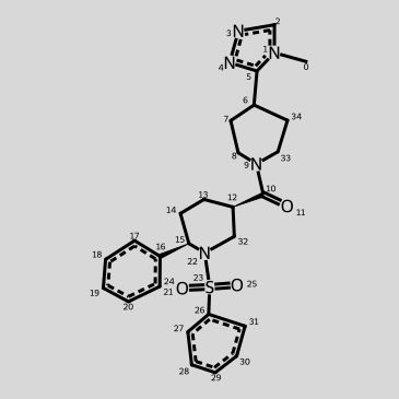 Cn1cnnc1C1CCN(C(=O)[C@@H]2CC[C@H](c3ccccc3)N(S(=O)(=O)c3ccccc3)C2)CC1